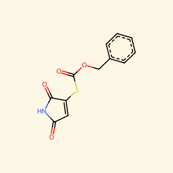 O=C1C=C(SC(=O)OCc2ccccc2)C(=O)N1